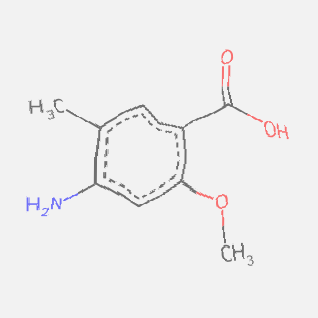 COc1cc(N)c(C)cc1C(=O)O